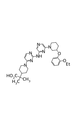 CCOc1ccccc1OC1CCCN(c2cncc(Nc3nccc(N4CCC(C(C)(C)C(=O)O)CC4)n3)n2)C1